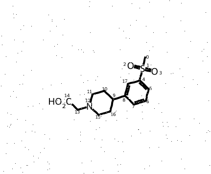 CS(=O)(=O)c1cccc(C2CCN(CC(=O)O)CC2)c1